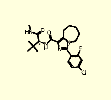 CNC(=O)[C@@H](NC(=O)c1nc(-c2ccc(Cl)cc2F)n2c1CCCCC2)C(C)(C)C